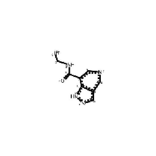 CC(C)CNC(=O)c1cncc2cn[nH]c12